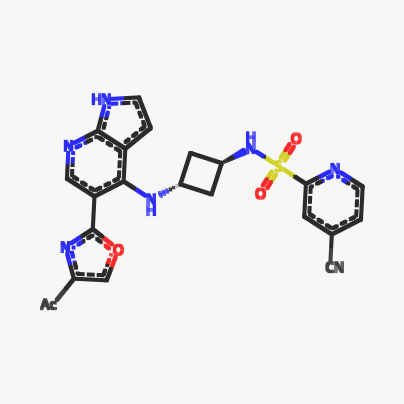 CC(=O)c1coc(-c2cnc3[nH]ccc3c2N[C@H]2C[C@H](NS(=O)(=O)c3cc(C#N)ccn3)C2)n1